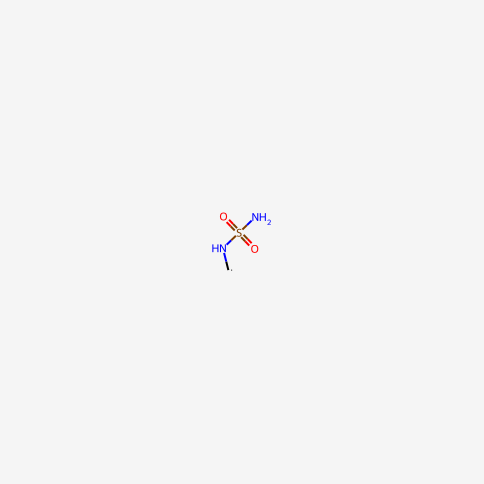 [CH2]NS(N)(=O)=O